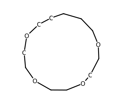 C1CCOCCOCCOCCOCC1